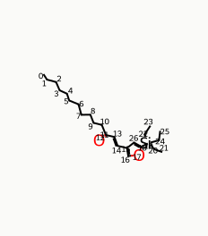 CCCCCCCCCCCC(=O)C=Cc1coc([Si](CC)(CC)CC)c1